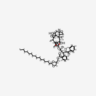 CCCCCCCCCCCCCCCC1OCC(COC(=O)O[C@@H](C(=O)OC2C[C@@]3(O)[C@@H](C)[C@@H]4[C@]5(C)CO[C@@H]5C[C@H](O)[C@@]4(C)C(=O)[C@H](C)C(=C2C)C3(C)C)[C@H](NC(=O)c2ccccc2)c2ccccc2)O1